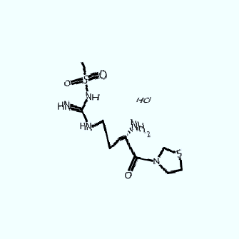 CS(=O)(=O)NC(=N)NCC[C@H](N)C(=O)N1CCSC1.Cl